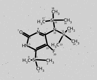 C[Si](C)(C)c1[nH]c(=O)nc(N([Si](C)(C)C)[Si](C)(C)C)c1F